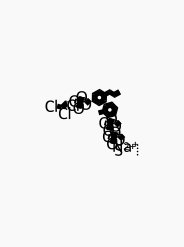 C=CCc1ccccc1.COS(=O)(=O)[O-].COS(=O)(=O)[O-].COS(=O)(=O)[O-].Cc1ccccc1.ClC=C(Cl)Cl.[Na+].[S+2]